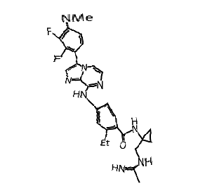 CCc1cc(Nc2nccn3c(-c4ccc(NC)c(F)c4F)cnc23)ccc1C(=O)NC1(CNC(C)=N)CC1